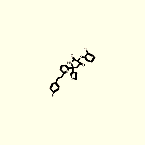 O=C1CC(c2ccsc2)(c2cccc(CCc3ccc(F)cc3)n2)NC(=O)C1Sc1ccccc1Cl